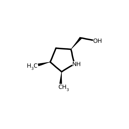 C[C@@H]1N[C@H](CO)C[C@@H]1C